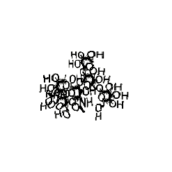 CC(=O)N[C@H]1[C@H](O[C@H]2[C@H](O[C@@H]3O[C@@H](C)[C@@H](O)[C@@H](O)[C@@H]3O)[C@@H](NC(C)=O)C(O)O[C@@H]2CO)O[C@H](CO)[C@@H](O[C@@H]2O[C@H](CO[C@H]3O[C@H](CO)[C@@H](O)[C@H](O)[C@@H]3O)[C@@H](O)[C@H](O)[C@@H]2O[C@@H]2OC[C@@H](O)[C@H](O)[C@H]2O)[C@@H]1O